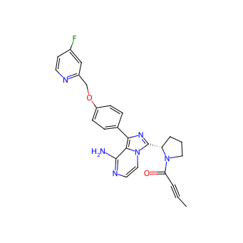 CC#CC(=O)N1CCC[C@H]1c1nc(-c2ccc(OCc3cc(F)ccn3)cc2)c2c(N)nccn12